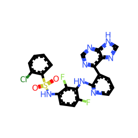 O=S(=O)(Nc1ccc(F)c(Nc2ncccc2-c2ncnc3[nH]cnc23)c1F)c1ccccc1Cl